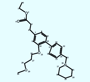 CCOC(=O)CCc1ccc(-c2ccc(CN3CCCCC3)cc2)c(OCCCOC)c1